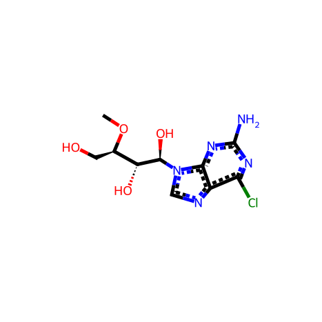 CO[C@H](CO)[C@@H](O)[C@@H](O)n1cnc2c(Cl)nc(N)nc21